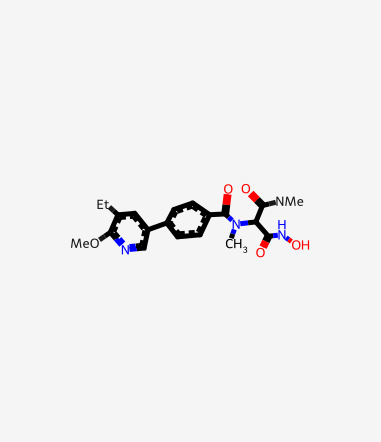 CCc1cc(-c2ccc(C(=O)N(C)C(C(=O)NC)C(=O)NO)cc2)cnc1OC